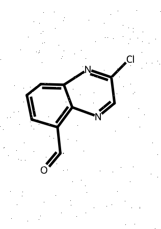 O=[C]c1cccc2nc(Cl)cnc12